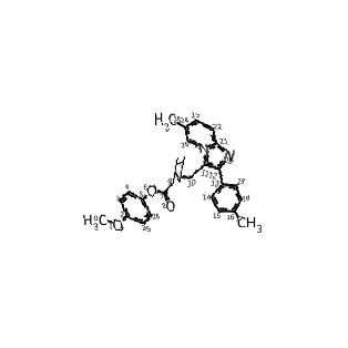 COc1ccc(OC(=O)NCc2c(-c3ccc(C)cc3)nc3ccc(C)cn23)cc1